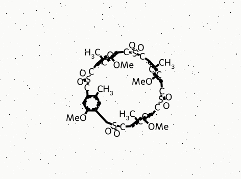 COc1cc2c(C)cc1CS(=O)(=O)Cc1cc(OC)c(cc1C)CS(=O)(=O)Cc1cc(C)c(cc1OC)CS(=O)(=O)Cc1cc(C)c(cc1OC)CS(=O)(=O)C2